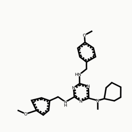 COc1ccc(CNc2nc(NCc3ccc(OC)cc3)nc(N(C)C3CCCCC3)n2)cc1